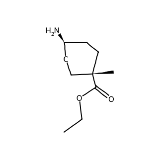 CCOC(=O)[C@]1(C)CC[C@@H](N)CC1